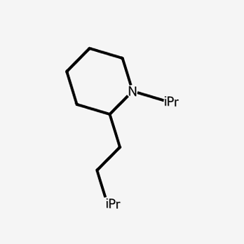 CC(C)CCC1CCCCN1C(C)C